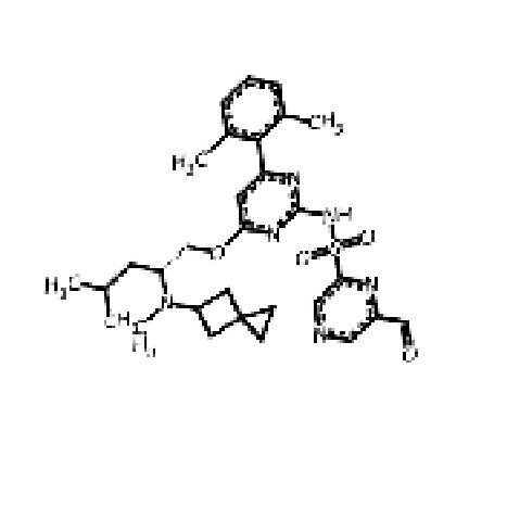 Cc1cccc(C)c1-c1cc(OC[C@@H](CC(C)C)N(C)C2CC3(CC3)C2)nc(NS(=O)(=O)c2cncc(C=O)n2)n1